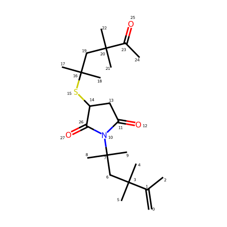 C=C(C)C(C)(C)CC(C)(C)N1C(=O)CC(SC(C)(C)CC(C)(C)C(C)=O)C1=O